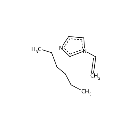 C=Cn1ccnc1.CCCCCC